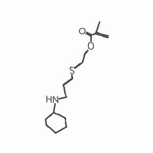 C=C(C)C(=O)OCCSCCCNC1CCCCC1